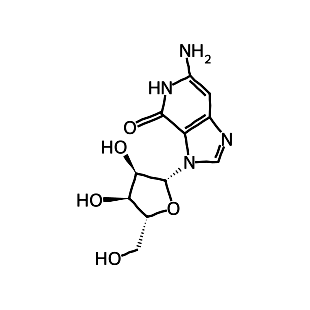 Nc1cc2ncn([C@@H]3O[C@H](CO)[C@@H](O)[C@H]3O)c2c(=O)[nH]1